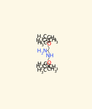 CC(C)(C)[Si](C)(C)OCCNCC(N)CCO[Si](C)(C)C(C)(C)C